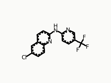 FC(F)(F)c1ccc(Nc2ccc3cc(Cl)ccc3n2)nc1